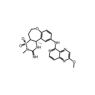 COc1cnc2c(Nc3ccc4c(c3)[C@@]3(C)NC(=N)N(C)S(=O)(=O)C3CCO4)nccc2n1